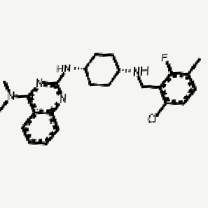 Cc1ccc(Cl)c(CN[C@H]2CC[C@@H](Nc3nc(N(C)C)c4ccccc4n3)CC2)c1F